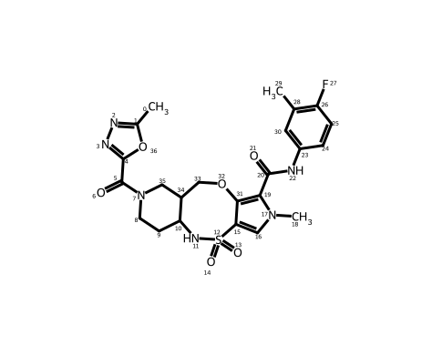 Cc1nnc(C(=O)N2CCC3NS(=O)(=O)c4cn(C)c(C(=O)Nc5ccc(F)c(C)c5)c4OCC3C2)o1